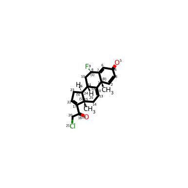 C[C@]12C=CC(=O)C=C1[C@@H](F)C[C@@H]1C2=CC[C@]2(C)C(C(=O)CCl)=CC[C@@H]12